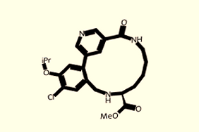 COC(=O)[C@@H]1CCCCNC(=O)c2cncc(c2)-c2cc(OC(C)C)c(Cl)cc2CN1